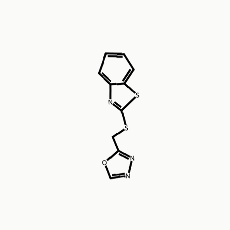 c1ccc2sc(SCc3nnco3)nc2c1